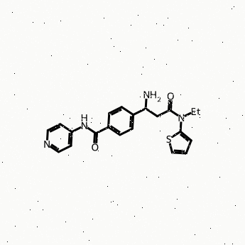 CCN(C(=O)CC(N)c1ccc(C(=O)Nc2ccncc2)cc1)c1cccs1